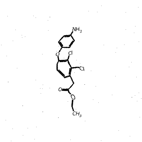 CCOC(=O)Cc1ccc(Oc2ccc(N)cc2)c(Cl)c1Cl